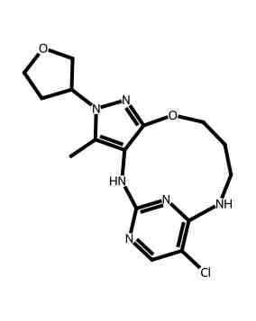 Cc1c2c(nn1C1CCOC1)OCCCNc1nc(ncc1Cl)N2